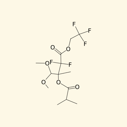 COC(OC)C(C)(OC(=O)C(C)C)C(F)(F)C(=O)OCC(F)(F)F